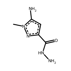 Cn1nc(C(=O)NN)cc1N